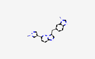 Cn1cc(-c2ccc3ncc(Cc4ccc5ncn(C)c5c4)n3n2)cn1